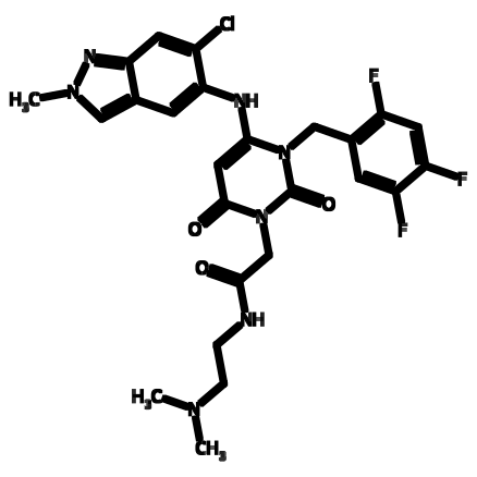 CN(C)CCNC(=O)Cn1c(=O)cc(Nc2cc3cn(C)nc3cc2Cl)n(Cc2cc(F)c(F)cc2F)c1=O